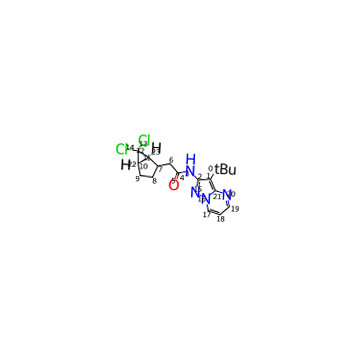 CC(C)(C)c1c(NC(=O)CC2CC[C@@H]3[C@H]2C3(Cl)Cl)nn2cccnc12